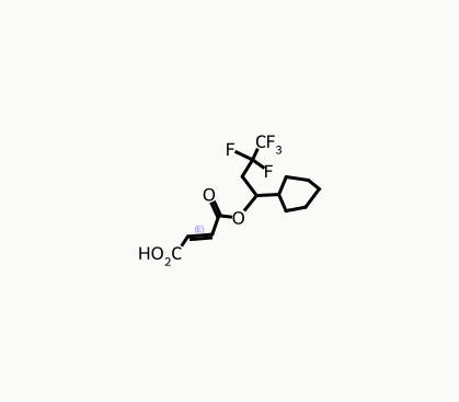 O=C(O)/C=C/C(=O)OC(CC(F)(F)C(F)(F)F)C1CCCCC1